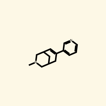 CN1CC2C=C(c3cccnc3)CC(C2)C1